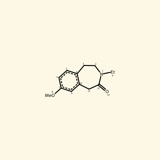 CCN1CCc2ccc(OC)cc2CC1=O